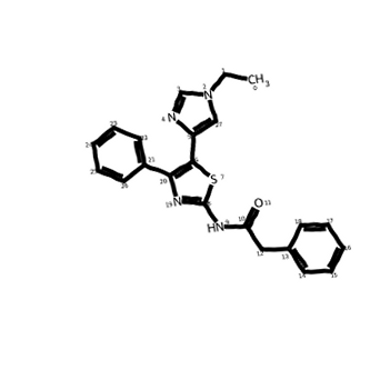 CCn1cnc(-c2sc(NC(=O)Cc3ccccc3)nc2-c2ccccc2)c1